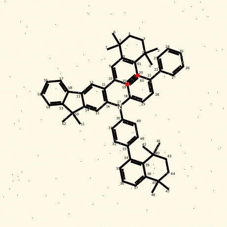 CC1(C)CCC(C)(C)c2cc(-c3cc4c(cc3N(c3ccc(-c5ccccc5)cc3)c3ccc(-c5cccc6c5C(C)(C)CCC6(C)C)cc3)C(C)(C)c3ccccc3-4)ccc21